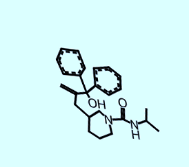 C=C(CC1CCCN(C(=O)NC(C)C)C1)C(O)(c1ccccc1)c1ccccc1